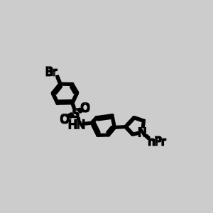 CCCN1CCC(c2ccc(NS(=O)(=O)c3ccc(Br)cc3)cc2)C1